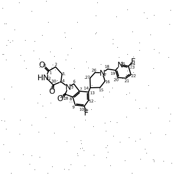 O=C1CCC(N2Cc3c(cc(F)cc3C3CCN(Cc4cccc(F)n4)CC3)C2=O)C(=O)N1